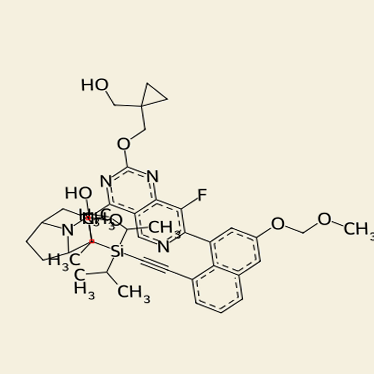 COCOc1cc(-c2ncc3c(N4CC5CCC(C4)N5C(=O)O)nc(OCC4(CO)CC4)nc3c2F)c2c(C#C[Si](C(C)C)(C(C)C)C(C)C)cccc2c1